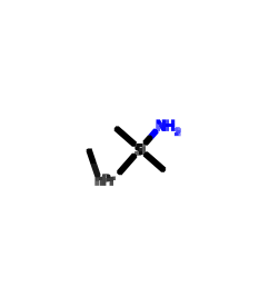 CCCC.C[Si](C)(C)N